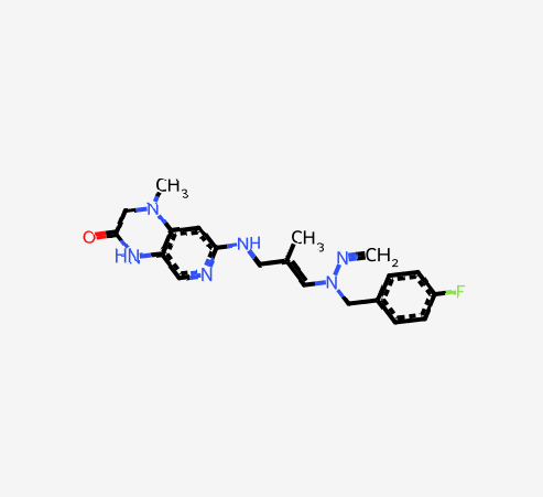 C=NN(/C=C(\C)CNc1cc2c(cn1)NC(=O)CN2C)Cc1ccc(F)cc1